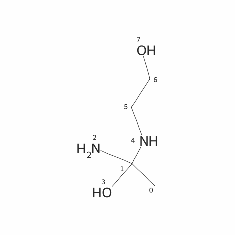 CC(N)(O)NCCO